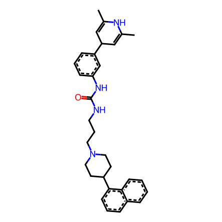 CC1=CC(c2cccc(NC(=O)NCCCN3CCC(c4cccc5ccccc45)CC3)c2)C=C(C)N1